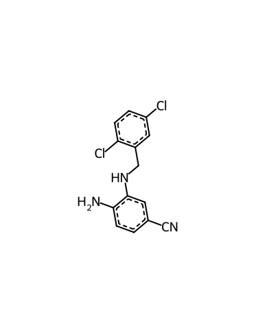 N#Cc1ccc(N)c(NCc2cc(Cl)ccc2Cl)c1